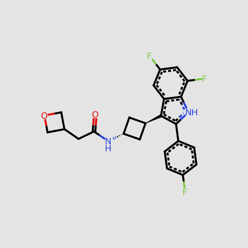 O=C(CC1COC1)N[C@H]1C[C@H](c2c(-c3ccc(F)cc3)[nH]c3c(F)cc(F)cc32)C1